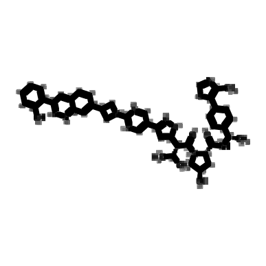 Cc1ncsc1-c1ccc([C@H](C)NC(=O)[C@@H]2C[C@@H](O)CN2C(=O)[C@@H](c2cc(-c3cnc(N4CC(c5ccc6cc(-c7ccccc7O)nnc6c5)C4)nc3)no2)C(C)C)cc1